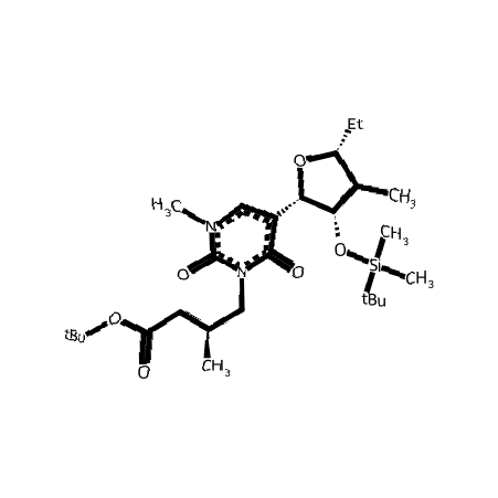 CC[C@H]1O[C@@H](c2cn(C)c(=O)n(C[C@@H](C)CC(=O)OC(C)(C)C)c2=O)[C@@H](O[Si](C)(C)C(C)(C)C)C1C